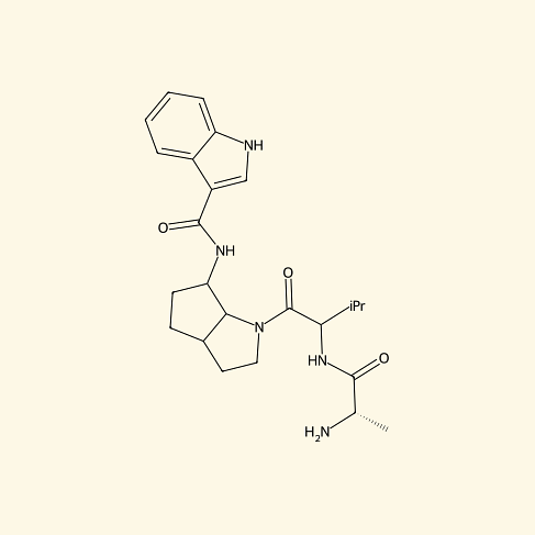 CC(C)C(NC(=O)[C@H](C)N)C(=O)N1CCC2CCC(NC(=O)c3c[nH]c4ccccc34)C21